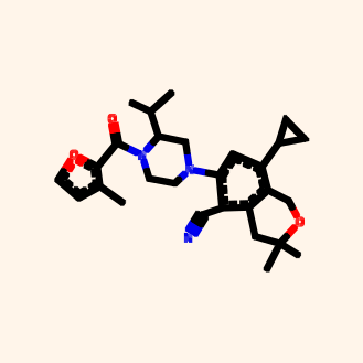 Cc1ccoc1C(=O)N1CCN(c2cc(C3CC3)c3c(c2C#N)CC(C)(C)OC3)CC1C(C)C